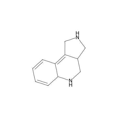 C1=CC2=C3CNCC3CNC2C=C1